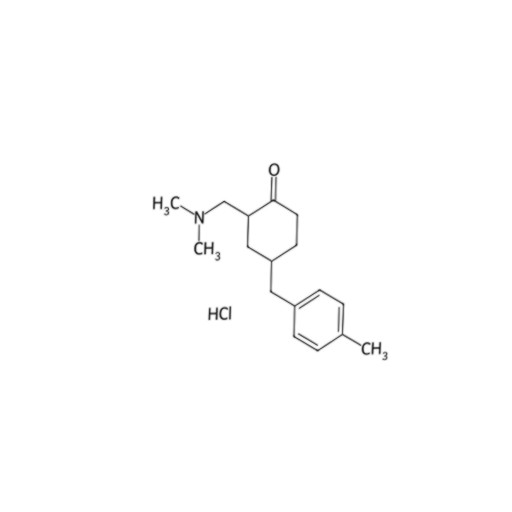 Cc1ccc(CC2CCC(=O)C(CN(C)C)C2)cc1.Cl